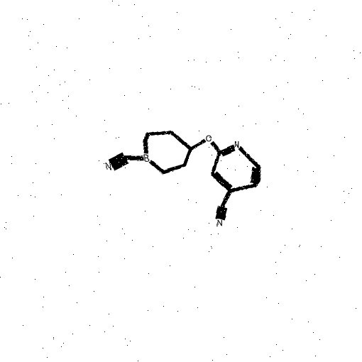 N#CB1CCC(Oc2cc(C#N)ccn2)CC1